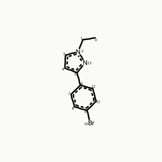 CCn1ccc(-c2ccc(Br)cc2)n1